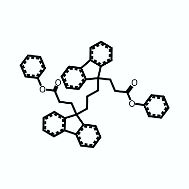 O=C(CCC1(CCCC2(CCC(=O)Oc3ccccc3)c3ccccc3-c3ccccc32)c2ccccc2-c2ccccc21)Oc1ccccc1